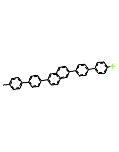 Cc1ccc(-c2ccc(-c3ccc4cc(-c5ccc(-c6ccc(F)cc6)cc5)ccc4c3)cc2)cc1